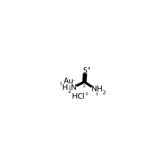 Cl.NC(N)=S.[Au]